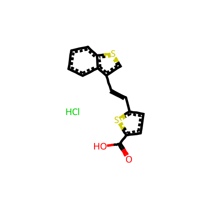 Cl.O=C(O)c1ccc(C=Cc2csc3ccccc23)s1